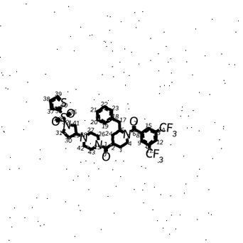 O=C(C1CCN(C(=O)c2cc(C(F)(F)F)cc(C(F)(F)F)c2)C(Cc2ccccc2)C1)N1CCN(C2CCN(S(=O)(=O)c3cccs3)C2)CC1